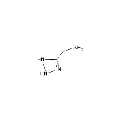 NCc1n[nH][nH]1